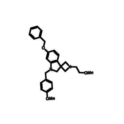 COCCN1CC2(C1)CN(Cc1ccc(OC)cc1)c1cc(OCc3ccccc3)ccc12